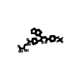 O=C(/C=C(\C(=O)c1ccc(C(=O)NC[C@@H](O)C(=O)O)cc1)c1ccc2c(c1)CCC2)c1ccc(SC(F)(F)F)cc1